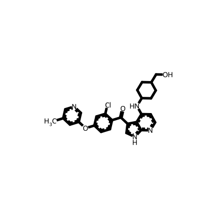 Cc1cncc(Oc2ccc(C(=O)c3c[nH]c4nccc(NC5CCC(CO)CC5)c34)c(Cl)c2)c1